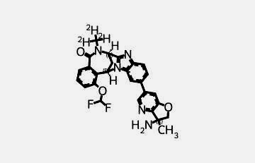 [2H]C([2H])([2H])N1C(=O)c2cccc(OC(F)F)c2[C@H]2C[C@@H]1c1nc3ccc(-c4cnc5c(c4)OC[C@]5(C)N)cc3n12